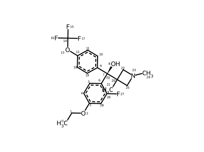 CCOc1ccc([C@](O)(c2ccc(OC(F)(F)F)cc2)C2(C)CN(C)C2)c(F)c1